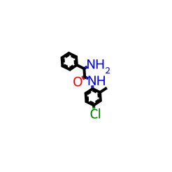 Cc1cc(Cl)ccc1NC(=O)C(N)c1ccccc1